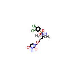 CC(C)(CCCOCn1ccc(=O)[nH]c1=O)NS(=O)(=O)c1ccc(Cl)c(Cl)c1